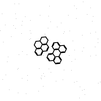 c1cc2c3c4c(ccc3c1)CCCC4CC2.c1cc2cccc3c4cccc5cccc(c(c1)c23)c54